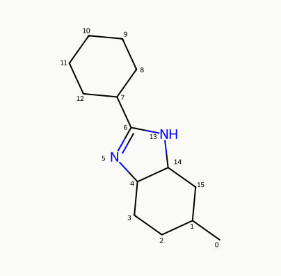 CC1CCC2N=C(C3CCCCC3)NC2C1